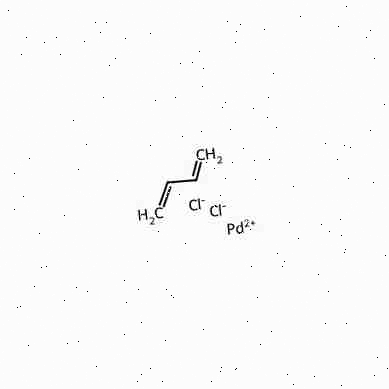 C=CC=C.[Cl-].[Cl-].[Pd+2]